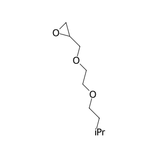 CC(C)CCOCCOCC1CO1